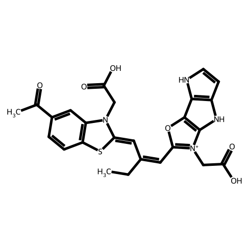 CCC(=Cc1oc2c3[nH]ccc3[nH]c2[n+]1CC(=O)O)C=C1Sc2ccc(C(C)=O)cc2N1CC(=O)O